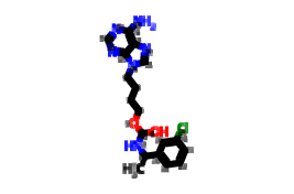 C[C@@H](NC(O)OCCCCn1cnc2c(N)ncnc21)c1cccc(Cl)c1